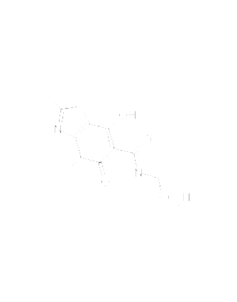 Cc1nc2c(s1)C(O)=C(C(=O)NCC(=O)O)C(=O)C2C